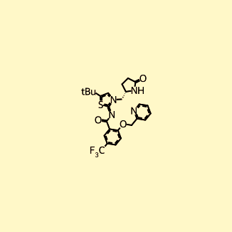 CC(C)(C)c1cn(C[C@@H]2CCC(=O)N2)/c(=N/C(=O)c2cc(C(F)(F)F)ccc2OCc2ccccn2)s1